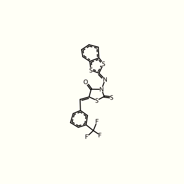 O=C1/C(=C/c2cccc(C(F)(F)F)c2)SC(=S)N1N=c1sc2ccccc2s1